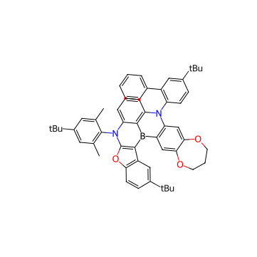 Cc1cc(C(C)(C)C)cc(C)c1N1c2cccc3c2B(c2cc4c(cc2N3c2ccc(C(C)(C)C)cc2-c2ccccc2)OCCCO4)c2c1oc1ccc(C(C)(C)C)cc21